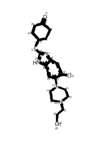 O=C1CCC(Sc2nc3cc(Cl)c(N4CCN(CCO)CC4)cc3[nH]2)CC1